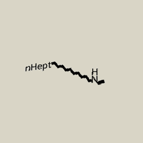 C=CNCCCCCCCCCCCCCCCCC